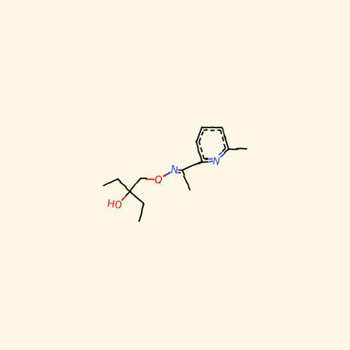 CCC(O)(CC)CO/N=C(\C)c1cccc(C)n1